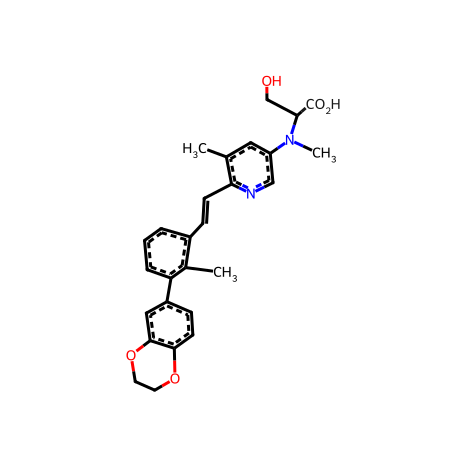 Cc1cc(N(C)C(CO)C(=O)O)cnc1/C=C/c1cccc(-c2ccc3c(c2)OCCO3)c1C